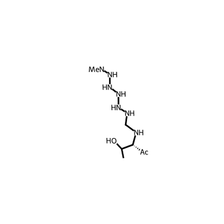 CNNNNNNCN[C@H](C(C)=O)C(C)O